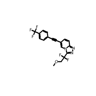 COCC(F)(F)c1nnc2ccc(C#Cc3ccc(C(F)(F)F)cc3)cn12